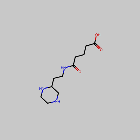 O=C(O)CCCC(=O)NCCC1CNCCN1